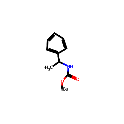 [CH2]C(NC(=O)OCCCC)c1ccccc1